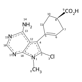 Cn1c(Cl)c(C2=CC[C@H](C(=O)O)CC2)c2c(N)ncnc21